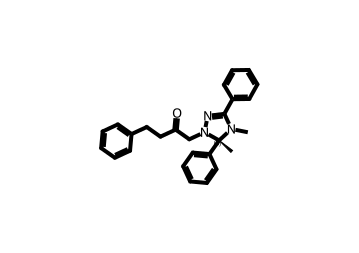 CN1C(c2ccccc2)=NN(CC(=O)CCc2ccccc2)[C@@]1(C)c1ccccc1